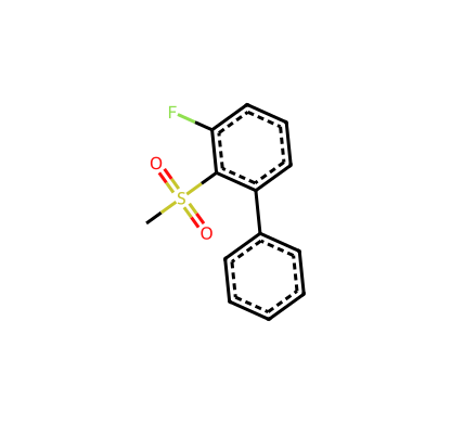 CS(=O)(=O)c1c(F)cccc1-c1ccccc1